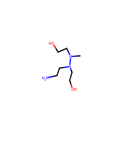 CN(CCO)N(CCN)CCO